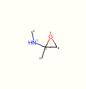 CNC1(C)CO1